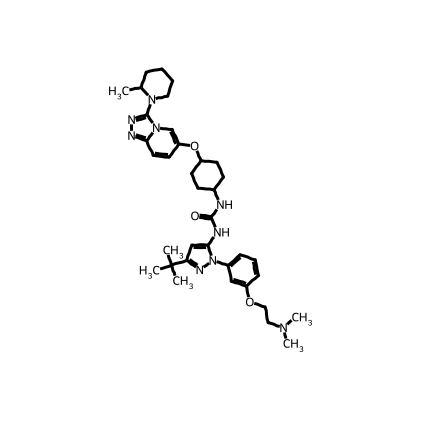 CC1CCCCN1c1nnc2ccc(OC3CCC(NC(=O)Nc4cc(C(C)(C)C)nn4-c4cccc(OCCN(C)C)c4)CC3)cn12